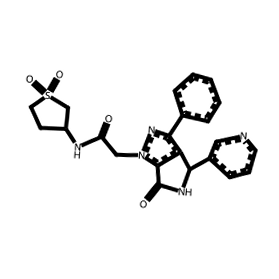 O=C(Cn1nc(-c2ccccc2)c2c1C(=O)NC2c1cccnc1)NC1CCS(=O)(=O)C1